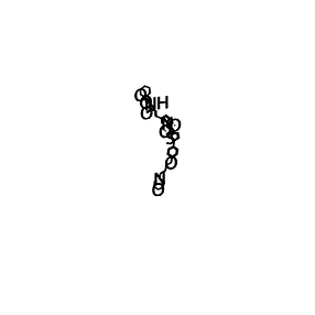 O=C(C=Cc1ccn(S(=O)(=O)c2ccc(-c3ccc(OCCCN4CCOCC4)cc3)s2)c1)NOC1CCCCO1